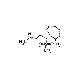 C=C1CCCCC[C@H]1C(CCNC)S(C)(=O)=O